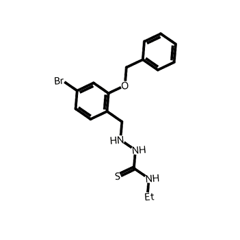 CCNC(=S)NNCc1ccc(Br)cc1OCc1ccccc1